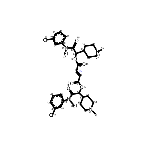 CCN(C(=O)C(OC(=O)/C=C/C(=O)OC(C(=O)N(CC)c1cccc(Cl)c1)C1CCN(C)CC1)C1CCN(C)CC1)c1cccc(Cl)c1